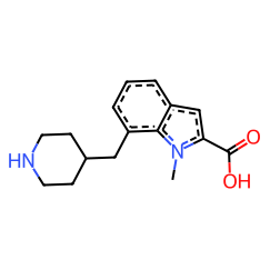 Cn1c(C(=O)O)cc2cccc(CC3CCNCC3)c21